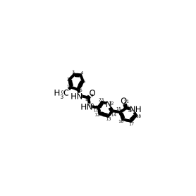 Cc1ccccc1NC(=O)Nc1ccc(-c2ccc[nH]c2=O)nc1